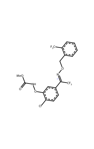 COC(=O)NOc1cc(/C(=N/OCc2ccccc2C(F)(F)F)C(F)(F)F)ccc1Cl